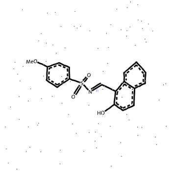 COc1ccc(S(=O)(=O)/N=C/c2c(O)ccc3ccccc23)cc1